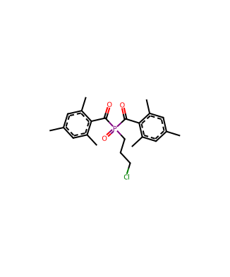 Cc1cc(C)c(C(=O)P(=O)(CCCCl)C(=O)c2c(C)cc(C)cc2C)c(C)c1